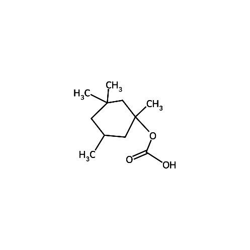 CC1CC(C)(C)CC(C)(OC(=O)O)C1